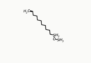 C=CCCCCCCCCC[SiH2]O[SiH3]